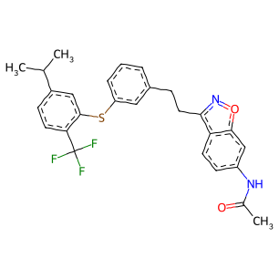 CC(=O)Nc1ccc2c(CCc3cccc(Sc4cc(C(C)C)ccc4C(F)(F)F)c3)noc2c1